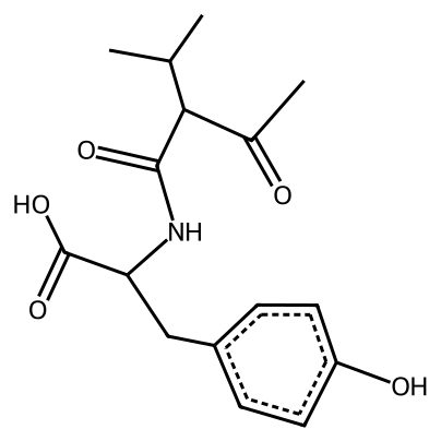 CC(=O)C(C(=O)NC(Cc1ccc(O)cc1)C(=O)O)C(C)C